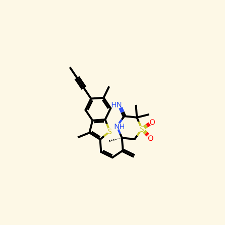 C=C(/C=C\c1sc2cc(C)c(C#CC)cc2c1C)[C@]1(C)CS(=O)(=O)C(C)(C)C(=N)N1